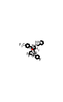 NC(=O)[C@@H]1CC(F)(F)C[N+]1(Cc1cc(NCc2ccccn2)nc(-c2ccc(C(F)(F)F)cc2)c1)S(=O)(=O)c1ccc(F)cc1